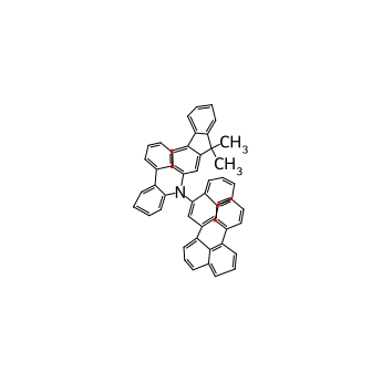 CC1(C)c2ccccc2-c2ccc(N(c3ccccc3-c3ccccc3)c3cc(-c4cccc5cccc(-c6ccccc6)c45)cc4ccccc34)cc21